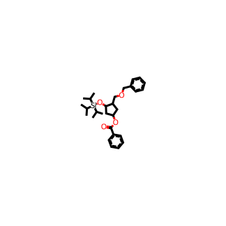 CC(C)[Si](OC1CC(OC(=O)c2ccccc2)CC1COCc1ccccc1)(C(C)C)C(C)C